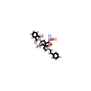 CC(C)CC1(C(CC(C)N2C(=O)c3ccccc3C2=O)C(=O)NO)CCN(CCc2ccccc2)C1=O